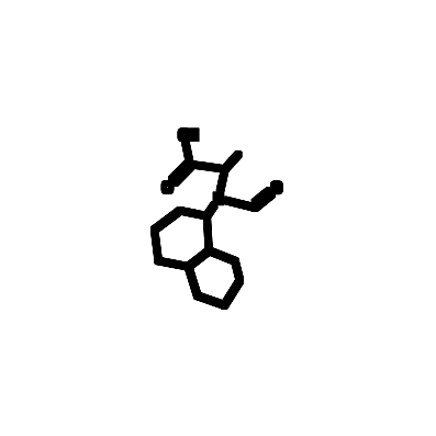 CC(C(=O)O)N(C=O)C1CCCC2CCCCC21